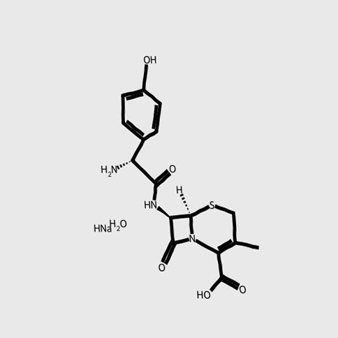 CC1=C(C(=O)O)N2C(=O)[C@@H](NC(=O)[C@H](N)c3ccc(O)cc3)[C@H]2SC1.O.[NaH]